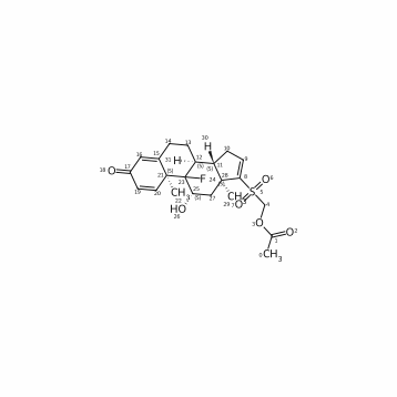 CC(=O)OCS(=O)(=O)C1=CC[C@H]2[C@@H]3CCC4=CC(=O)C=C[C@]4(C)C3(F)[C@@H](O)C[C@]12C